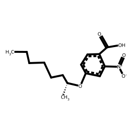 CCCCCC[C@@H](C)Oc1ccc(C(=O)O)c([N+](=O)[O-])c1